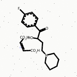 O=C(O)/C=C\C(=O)O.O=C(c1ccc(F)cc1)C(O)CCN1CCCCC1